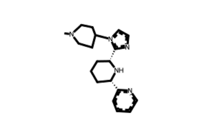 CN1CCC(n2ccnc2[C@H]2CCC[C@@H](c3ccccn3)N2)CC1